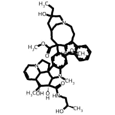 CCC1(O)CC2CN(CCc3c([nH]c4ccccc34)C(C(=O)OC)(c3cc4c(cc3OC)N(C)C3C45CCN4CC=C[C@](CC)(C45)[C@@H](O)[C@]3(O)C(=O)NC[C@@H](C)O)C2)C1